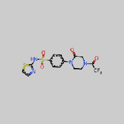 O=C1CN(C(=O)C(F)(F)F)CCN1c1ccc(S(=O)(=O)Nc2nccs2)cc1